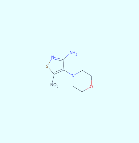 Nc1nsc([N+](=O)[O-])c1N1CCOCC1